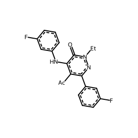 CCn1nc(-c2cccc(F)c2)c(C(C)=O)c(Nc2cccc(F)c2)c1=O